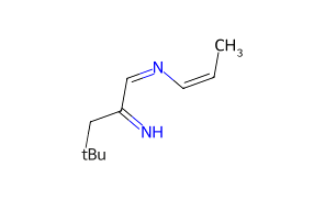 C/C=C\N=C/C(=N)CC(C)(C)C